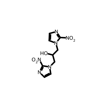 O=[N+]([O-])c1nccn1CC(O)Cn1ccnc1[N+](=O)[O-]